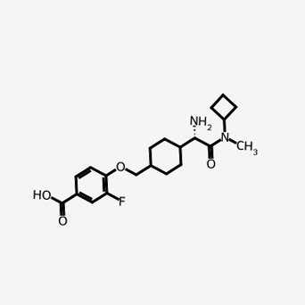 CN(C(=O)[C@@H](N)C1CCC(COc2ccc(C(=O)O)cc2F)CC1)C1CCC1